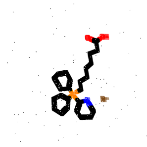 O=C(O)CCCCCCC[P+](c1ccccc1)(c1ccccc1)c1ccccn1.[Br-]